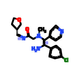 CN(CC(=O)/N=C\C1CCOC1)/C(=C(\N)c1ccc(Cl)cc1)c1ccncc1